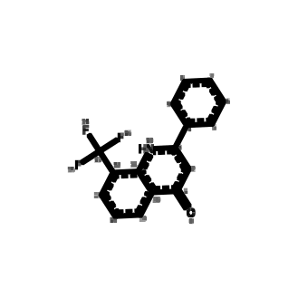 O=c1cc(-c2ccccc2)[nH]c2c(C(F)(F)F)cccc12